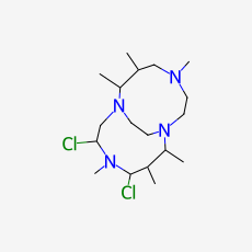 CC1CN(C)CCN2CCN(CC(Cl)N(C)C(Cl)C(C)C2C)C1C